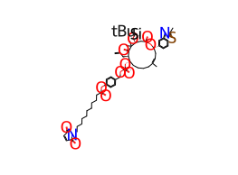 C=CC[C@H]1C(=O)C(C)(C)[C@@H](O[Si](C)(C)C(C)(C)C)CC(=O)O[C@H](c2ccc3sc(C)nc3c2)C/C=C(/C)CCC[C@H](C)[C@@H]1OC(=O)OCc1ccc(OC(=O)CCCCCCCCCCN2C(=O)C=CC2=O)cc1